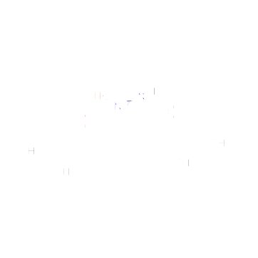 CCCCCCCCC(CCCCCCCC)COC(=O)CCCCCN(C)C/C=C/CN(CCO)CCCCCC(=O)OCC(CCCCCCCC)CCCCCCCC